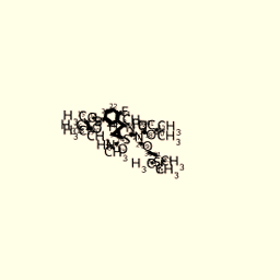 CNC(=O)[C@]12C[C@H]1[C@@](C)(c1cc(B3OC(C)(C)C(C)(C)O3)ccc1F)N=C(N(COCC[Si](C)(C)C)C(=O)OC(C)(C)C)S2